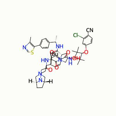 Cc1ncsc1-c1ccc([C@H](C)NC(=O)[C@@H]2C[C@@H](O)CN2C(=O)[C@@H](NC(=O)CN2C[C@@H]3CC[C@@H](C2)N3CCCc2ccc(C(=O)N[C@H]3C(C)(C)[C@H](Oc4ccc(C#N)c(Cl)c4)C3(C)C)cc2)C(C)(C)C)cc1